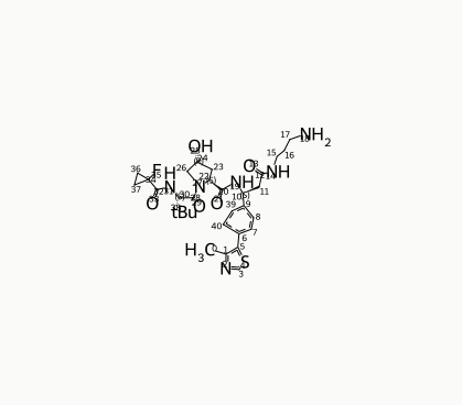 Cc1ncsc1-c1ccc([C@H](CC(=O)NCCCN)NC(=O)[C@@H]2C[C@@H](O)CN2C(=O)[C@@H](NC(=O)C2(F)CC2)C(C)(C)C)cc1